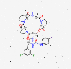 C[C@@H]1NC(=O)[C@@H]2CCCCN2C(=O)[C@@H]2CCCN2C(=O)[C@@H](NC(=O)[C@H](Cc2cc(F)cc(F)c2)NC(=O)Nc2ccc(I)cc2)[C@H](C)OC(=O)[C@@H]2CCCN2C1=O